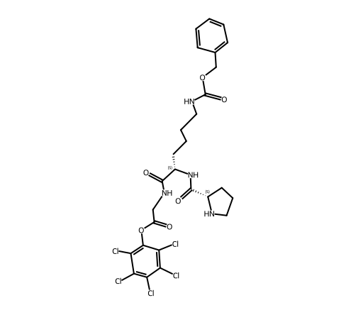 O=C(CNC(=O)[C@H](CCCCNC(=O)OCc1ccccc1)NC(=O)[C@@H]1CCCN1)Oc1c(Cl)c(Cl)c(Cl)c(Cl)c1Cl